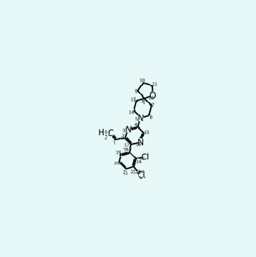 C=Cc1nc(N2CCC3(CCCO3)CC2)cnc1-c1cccc(Cl)c1Cl